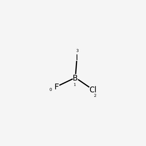 FB(Cl)I